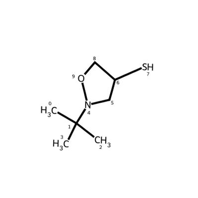 CC(C)(C)N1CC(S)CO1